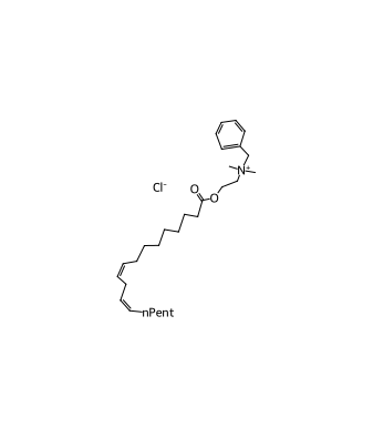 CCCCC/C=C\C/C=C\CCCCCCCC(=O)OCC[N+](C)(C)Cc1ccccc1.[Cl-]